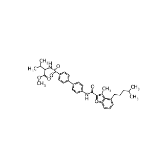 COC(=O)C(NS(=O)(=O)c1ccc(-c2ccc(NC(=O)c3oc4cccc(CCCC(C)C)c4c3C)cc2)cc1)C(C)C